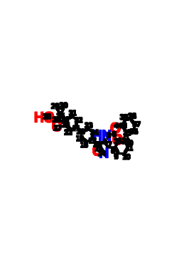 CC(OC(=O)Nc1c(-c2ccccc2)noc1-c1ccc(-c2ccc(C3(C(=O)O)CC3)cc2)cc1)c1ccccc1